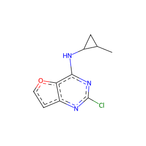 CC1CC1Nc1nc(Cl)nc2ccoc12